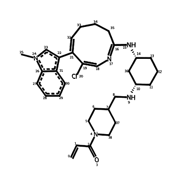 C=CC(=O)N1CCC(CN[C@H]2CCC[C@@H](N/C3=N/C=C(Cl)\C(c4cn(C)c5ccccc45)=C/CCC3)C2)CC1